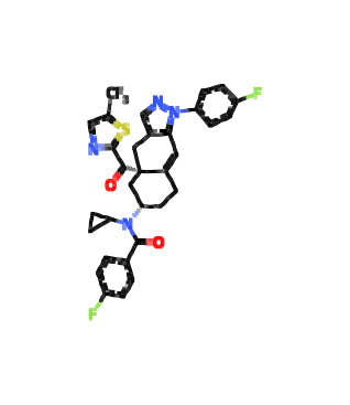 O=C(c1ccc(F)cc1)N(C1CC1)[C@H]1CCC2=Cc3c(cnn3-c3ccc(F)cc3)C[C@]2(C(=O)c2ncc(C(F)(F)F)s2)C1